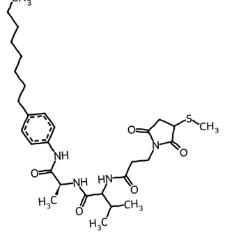 CCCCCCCCc1ccc(NC(=O)[C@H](C)NC(=O)C(NC(=O)CCN2C(=O)CC(SC)C2=O)C(C)C)cc1